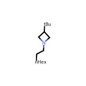 CCCCCCCCN1CC(C(C)(C)C)C1